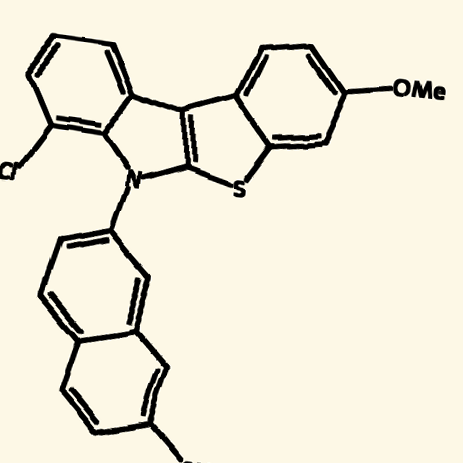 COc1ccc2ccc(-n3c4sc5cc(OC)ccc5c4c4cccc(Cl)c43)cc2c1